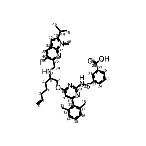 C=CCCCC(COc1cc(-c2c(C)cccc2C)nc(NSc2cccc(C(=O)O)c2)n1)NCc1nc2c(cc1F)cc(C(C)C)n2C